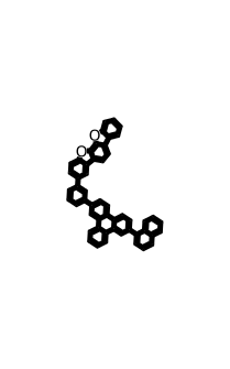 c1cc(-c2ccc3oc4c(ccc5c6ccccc6oc54)c3c2)cc(-c2ccc3c4ccc(-c5cccc6ccccc56)cc4c4ccccc4c3c2)c1